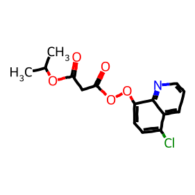 CC(C)OC(=O)CC(=O)OOc1ccc(Cl)c2cccnc12